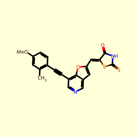 COc1ccc(C#Cc2cncc3cc(/C=C4\SC(=S)NC4=O)oc23)c(C)c1